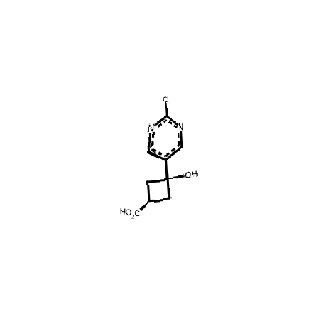 O=C(O)[C@H]1C[C@](O)(c2cnc(Cl)nc2)C1